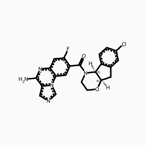 Nc1nc2cc(F)c(C(=O)N3CCO[C@@H]4Cc5cc(Cl)ccc5[C@@H]43)cc2n2cncc12